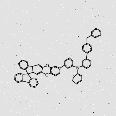 C1=CCCC(N(c2cccc(-c3ccc(Cc4ccccc4)cc3)c2)c2cccc(-c3ccc4c(c3)OC3=CC5c6ccccc6C6(c7ccccc7-c7ccccc76)C5C=C3O4)c2)=C1